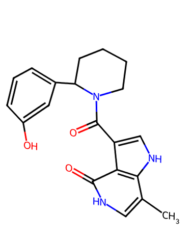 Cc1c[nH]c(=O)c2c(C(=O)N3CCCCC3c3cccc(O)c3)c[nH]c12